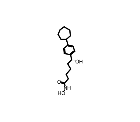 O=C(CCCC[C@@H](O)c1ccc(C2CCCCCC2)cc1)NO